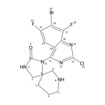 O=C1NCC2(CCCNC2)N1c1nc(Cl)nc2c(F)c(Br)c(F)cc12